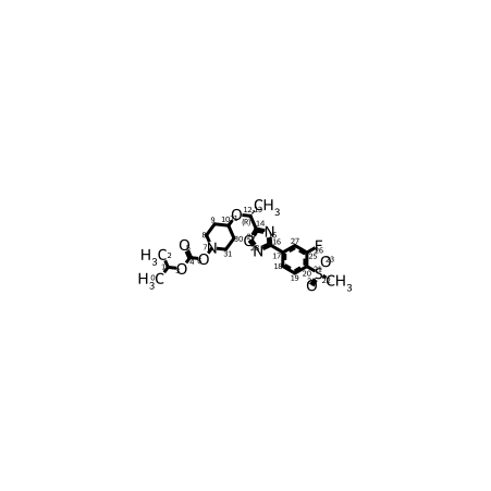 CC(C)OC(=O)ON1CCC(O[C@H](C)c2nc(-c3ccc(S(C)(=O)=O)c(F)c3)no2)CC1